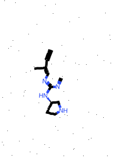 C#C/C(C)=C/N=C(\N=C)N[C@@H]1CCNC1